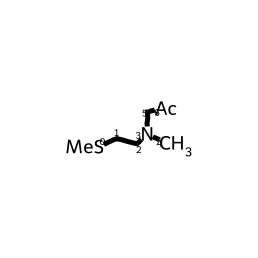 CSCCN(C)CC(C)=O